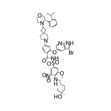 CC(C)c1ccccc1[C@@H]1COCCN1C1CC2(CCN(c3ccc(C(=O)NS(=O)(=O)c4cc5c(c([N+](=O)[O-])c4)N[C@@H]([C@H]4CC[C@](C)(O)CC4)CO5)c(Oc4cnc5[nH]cc(Br)c5c4)c3)CC2)C1